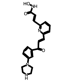 O=C(C=Cc1cccc(C=CC(=O)c2cccc(N3CCNCC3)c2)n1)NO